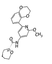 COc1cc(NC(=O)[C@H]2CNCCO2)cc(-c2cccc3c2OCCO3)n1